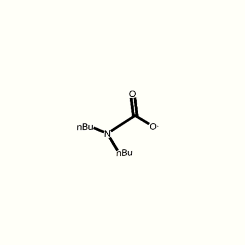 CCCCN(CCCC)C([O])=O